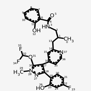 CC(CNC(=O)c1ccccc1O)Cc1cc(-c2c(-c3ccc(F)cc3O)nn(C)c2OC(F)F)ccn1